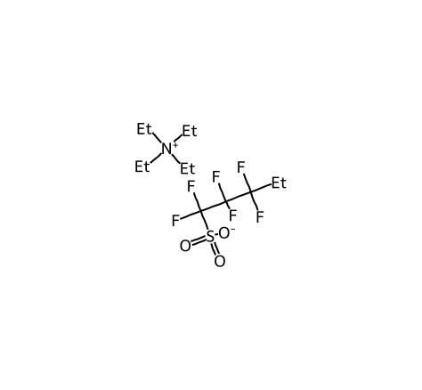 CCC(F)(F)C(F)(F)C(F)(F)S(=O)(=O)[O-].CC[N+](CC)(CC)CC